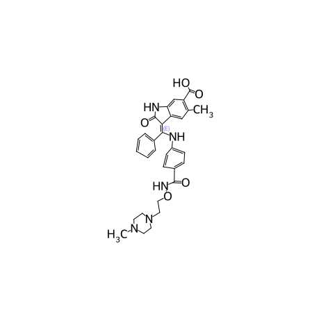 Cc1cc2c(cc1C(=O)O)NC(=O)/C2=C(/Nc1ccc(C(=O)NOCCN2CCN(C)CC2)cc1)c1ccccc1